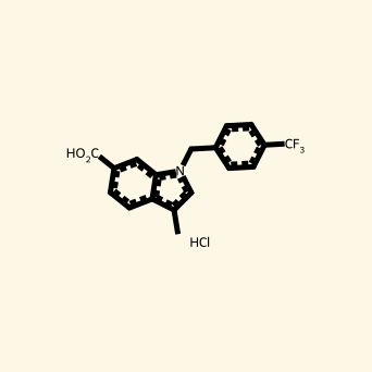 Cc1cn(Cc2ccc(C(F)(F)F)cc2)c2cc(C(=O)O)ccc12.Cl